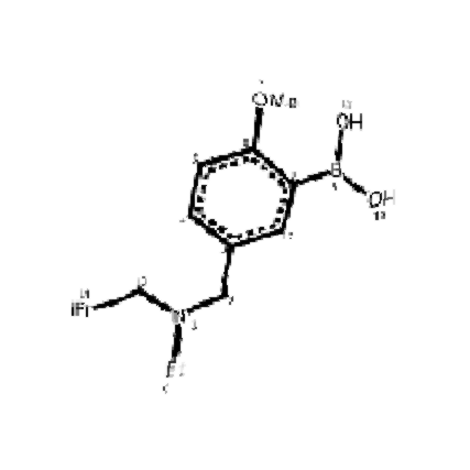 CCN(Cc1ccc(OC)c(B(O)O)c1)CC(C)C